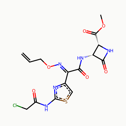 C=CCO/N=C(/C(=O)N[C@H]1C(=O)N[C@H]1C(=O)OC)c1csc(NC(=O)CCl)n1